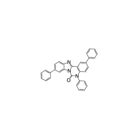 O=c1n(-c2ccccc2)c2ccc(-c3ccccc3)cc2c2nc3ccc(-c4ccccc4)cc3n12